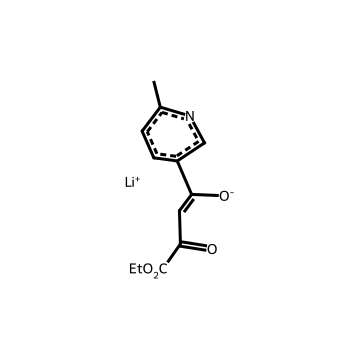 CCOC(=O)C(=O)C=C([O-])c1ccc(C)nc1.[Li+]